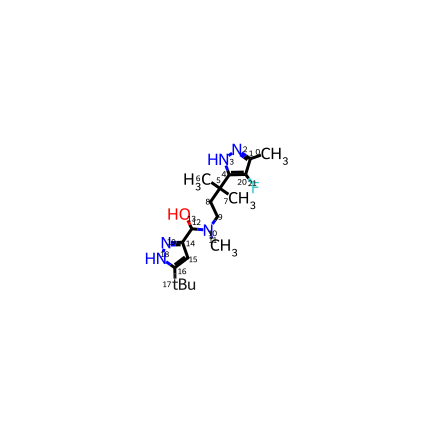 Cc1n[nH]c(C(C)(C)CCN(C)C(O)c2cc(C(C)(C)C)[nH]n2)c1F